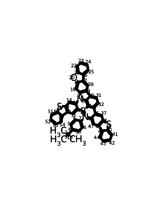 CC(C)(C)c1ccc(N2B3c4cc5c(cc4-n4c6cc7oc8ccccc8c7cc6c6ccc(c3c64)-c3cc4sc6ccccc6c4cc32)sc2ccccc25)cc1